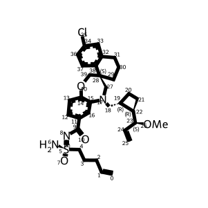 C=CCCC[S@](N)(=O)=NC(=O)c1ccc2c(c1)N(C[C@@H]1CC[C@H]1[C@H](C=C)OC)C[C@@]1(CCCc3cc(Cl)ccc31)CO2